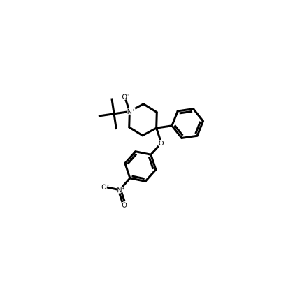 CC(C)(C)[N+]1([O-])CCC(Oc2ccc([N+](=O)[O-])cc2)(c2ccccc2)CC1